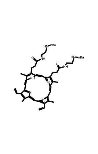 C=CC1=C(C)c2cc3[nH]c(cc4nc(cc5[nH]c(cc1n2)c(C)c5CCC(=O)NCCNCCCC)C(CCC(=O)NCCNCCCC)=C4C)c(C)c3C=C